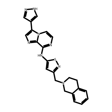 c1ccc2c(c1)CCN(Cc1cc(Nc3nccn4c(-c5cn[nH]c5)cnc34)sn1)C2